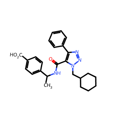 CC(NC(=O)c1c(-c2ccccc2)nnn1CC1CCCCC1)c1ccc(C(=O)O)cc1